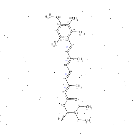 CCN(CC)C(C)OC(=O)/C=C(C)/C=C/C=C(C)/C=C/c1c(C)cc(OC)c(C)c1C